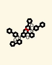 c1ccc(-c2ccc(N(c3cc4c5c(cccc5c3)-c3c(cccc3N(c3ccc(-c5ccccc5)cc3)c3cccc5c3oc3ccccc35)O4)c3cccc4c3oc3ccccc34)cc2)cc1